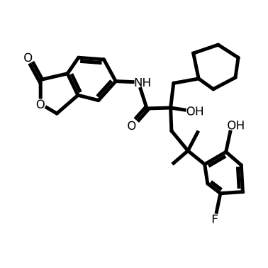 CC(C)(CC(O)(CC1CCCCC1)C(=O)Nc1ccc2c(c1)COC2=O)c1cc(F)ccc1O